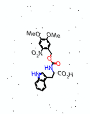 COc1cc(COC(=O)N[C@@H](Cc2c[nH]c3ccccc23)C(=O)O)c([N+](=O)[O-])cc1OC